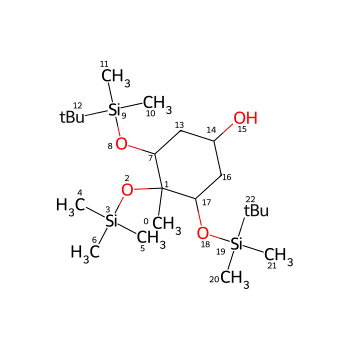 CC1(O[Si](C)(C)C)C(O[Si](C)(C)C(C)(C)C)CC(O)CC1O[Si](C)(C)C(C)(C)C